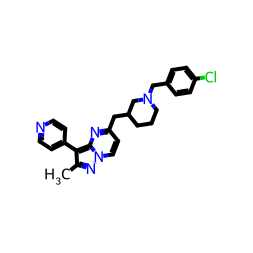 Cc1nn2ccc(CC3CCCN(Cc4ccc(Cl)cc4)C3)nc2c1-c1ccncc1